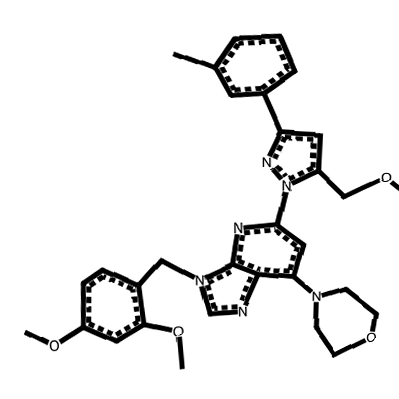 COCc1cc(-c2cccc(C)c2)nn1-c1cc(N2CCOCC2)c2ncn(Cc3ccc(OC)cc3OC)c2n1